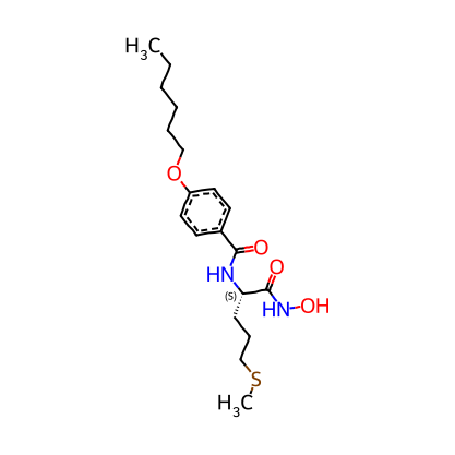 CCCCCCOc1ccc(C(=O)N[C@@H](CCCSC)C(=O)NO)cc1